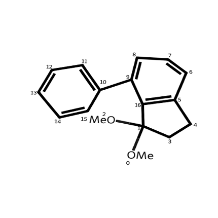 COC1(OC)CCc2cccc(-c3ccccc3)c21